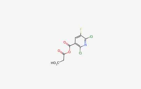 O=C(O)CC(=O)OC(=O)c1cc(F)c(Cl)nc1Cl